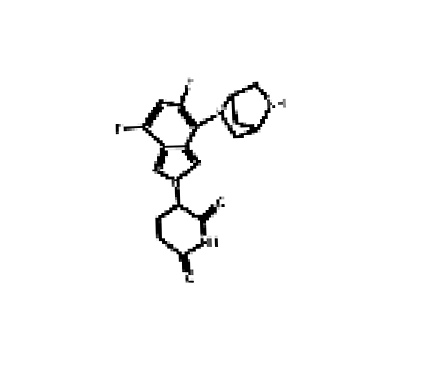 O=C1CCC(n2cc3c(F)cc(F)c(N4CC5CC4CN5)c3c2)C(=O)N1